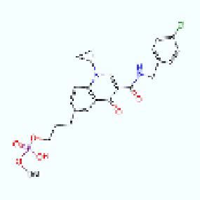 CC(C)(C)OP(=O)(O)OCCCc1ccc2c(c1)c(=O)c(C(=O)NCc1ccc(Cl)cc1)cn2C1CC1